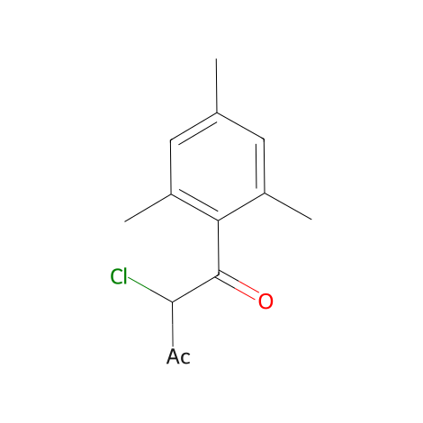 CC(=O)C(Cl)C(=O)c1c(C)cc(C)cc1C